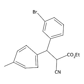 CCOC(=O)C(C#N)C(c1ccc(C)cc1)c1cccc(Br)c1